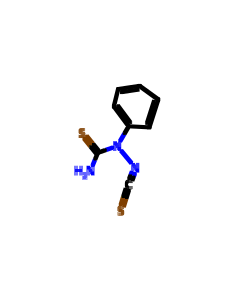 NC(=S)N(N=C=S)c1ccccc1